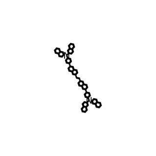 C(=C\c1ccc2cc(-c3ccc(N(c4ccc5ccccc5c4)c4ccc5ccccc5c4)cc3)ccc2c1)/c1ccc2cc(-c3ccc(N(c4ccc5ccccc5c4)c4ccc5ccccc5c4)cc3)ccc2c1